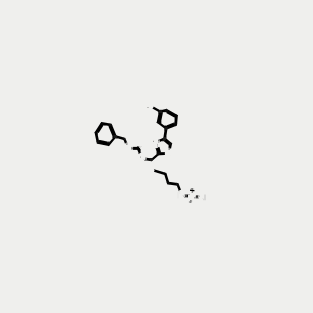 NS(=O)(=O)NCCCC[C@H](NC(=O)OCc1ccccc1)c1nc(-c2cccc(Br)c2)cs1